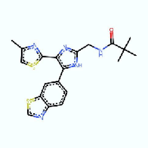 Cc1csc(-c2nc(CNC(=O)C(C)(C)C)[nH]c2-c2ccc3ncsc3c2)n1